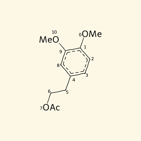 COc1ccc(CCOC(C)=O)cc1OC